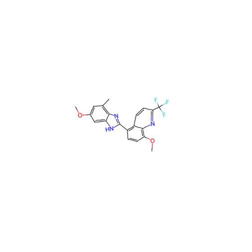 COc1cc(C)c2nc(-c3ccc(OC)c4nc(C(F)(F)F)ccc34)[nH]c2c1